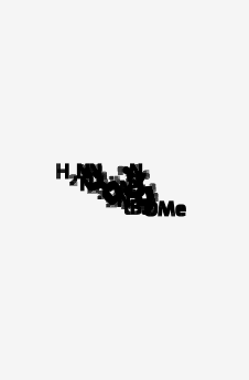 COc1ccc(-c2cnc(C)s2)c(-c2nc3cc(-c4cnc(N)nc4)ccc3n2C(C)(C)C)c1